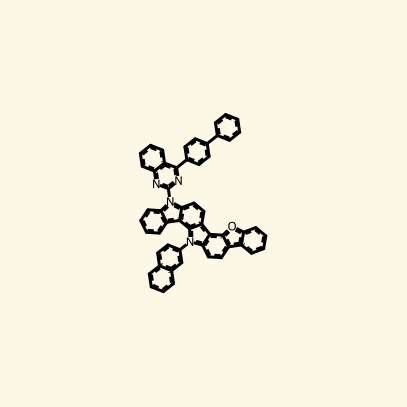 c1ccc(-c2ccc(-c3nc(-n4c5ccccc5c5c4ccc4c6c7oc8ccccc8c7ccc6n(-c6ccc7ccccc7c6)c45)nc4ccccc34)cc2)cc1